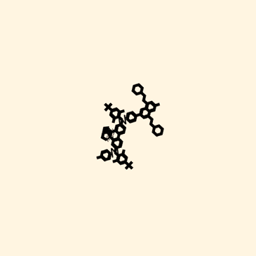 Cc1ccc(N(c2ccc3c(c2)[C@@]24CCC5(CC[C@]2(C5)c2cc(N(c5ccc(-c6cc(CCC7CCCCC7)c7cc(C)cc(CCC8CCCCC8)c7c6)cc5)c5c(C)cc(C(C)(C)C)cc5C)ccc2-3)C4)c2c(C)cc(C(C)(C)C)cc2C)cc1